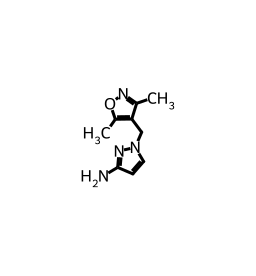 Cc1noc(C)c1Cn1ccc(N)n1